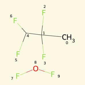 CC(F)(F)C(F)F.FOF